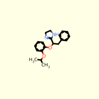 CC(C)Oc1ccccc1OC(Cc1ccccc1)C1=NCCN1